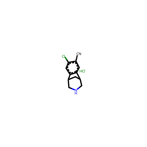 Cl.N#Cc1cc2c(cc1Cl)C1CNCC2C1